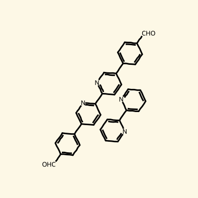 O=Cc1ccc(-c2ccc(-c3ccc(-c4ccc(C=O)cc4)cn3)nc2)cc1.c1ccc(-c2ccccn2)nc1